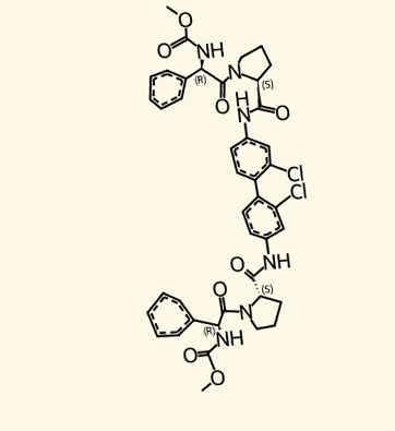 COC(=O)N[C@@H](C(=O)N1CCC[C@H]1C(=O)Nc1ccc(-c2ccc(NC(=O)[C@@H]3CCCN3C(=O)[C@H](NC(=O)OC)c3ccccc3)cc2Cl)c(Cl)c1)c1ccccc1